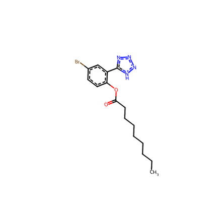 CCCCCCCCC(=O)Oc1ccc(Br)cc1-c1nnn[nH]1